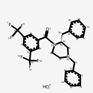 Cl.O=C(c1cc(C(F)(F)F)cc(C(F)(F)F)c1)N1CCN(Cc2ccccc2)C[C@H]1Cc1ccccc1